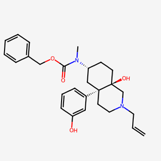 C=CCN1CC[C@@]2(c3cccc(O)c3)C[C@H](N(C)C(=O)OCc3ccccc3)CC[C@]2(O)C1